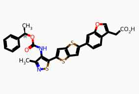 Cc1nsc(-c2cc3sc(-c4ccc5c(CC(=O)O)coc5c4)cc3s2)c1NC(=O)O[C@H](C)c1ccccc1